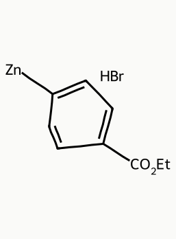 Br.CCOC(=O)c1cc[c]([Zn])cc1